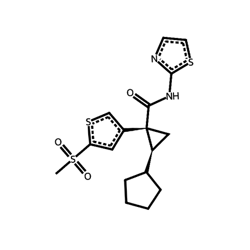 CS(=O)(=O)c1cc([C@@]2(C(=O)Nc3nccs3)C[C@H]2C2CCCC2)cs1